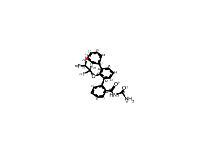 NC(=O)NC(=O)c1ccccc1-c1cccc(-c2ccccc2)c1OC(F)(F)C(F)F